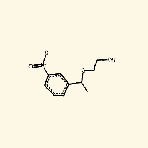 CC(OCCO)c1cccc([N+](=O)[O-])c1